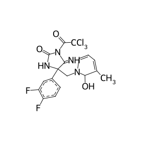 CC1=CC=CN(CC2(c3ccc(F)c(F)c3)NC(=O)N(C(=O)C(Cl)(Cl)Cl)C2=N)C1O